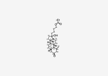 CCC(=O)OCCCC[C@]1(O)CC[C@H]2[C@@H]3CC[C@H]4CC(=O)C[C@H](C)[C@]4(C)[C@H]3CC[C@@]21C